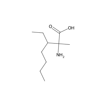 CCCCC(CC)C(C)(N)C(=O)O